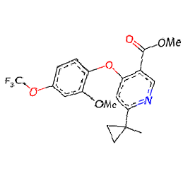 COC(=O)c1cnc(C2(C)CC2)cc1Oc1ccc(OC(F)(F)F)cc1OC